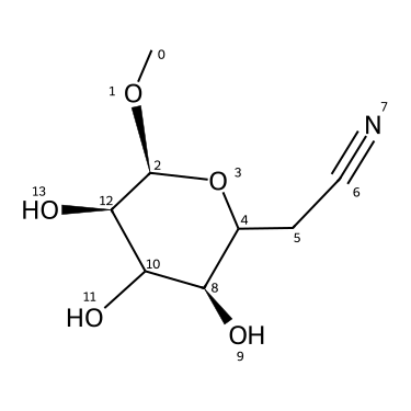 CO[C@H]1OC(CC#N)[C@@H](O)C(O)[C@H]1O